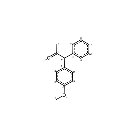 COc1ccc(C(C(C)=O)c2ccccc2)cc1